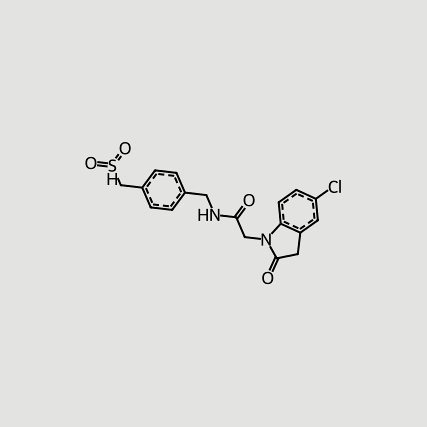 O=C(CN1C(=O)Cc2cc(Cl)ccc21)NCc1ccc(C[SH](=O)=O)cc1